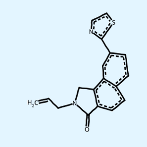 C=CCN1Cc2c(ccc3ccc(-c4nccs4)cc23)C1=O